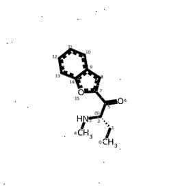 CC[C@H](NC)C(=O)c1cc2ccccc2o1